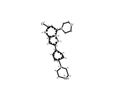 Clc1cc(N2CCOCC2)n2nc(-c3ccc(N4CCNCC4)cc3)cc2n1